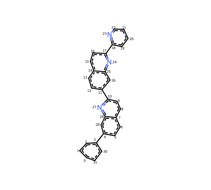 c1ccc(-c2ccc3ccc(-c4ccc5ccc(-c6ccccn6)nc5c4)nc3c2)cc1